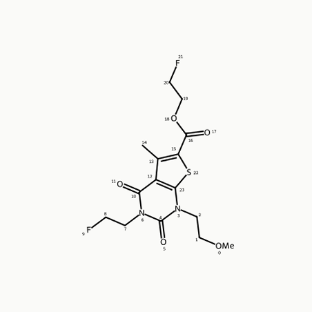 COCCn1c(=O)n(CCF)c(=O)c2c(C)c(C(=O)OCCF)sc21